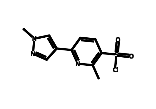 Cc1nc(-c2cnn(C)c2)ccc1S(=O)(=O)Cl